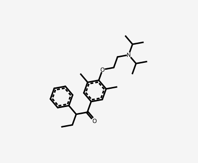 CCC(C(=O)c1cc(C)c(OCCN(C(C)C)C(C)C)c(C)c1)c1ccccc1